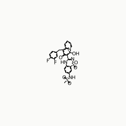 CS(=O)(=O)Nc1ccc2c(c1)S(=O)(=O)N=C(c1c(O)n3ccccc3c(Cc3ccc(F)c(F)c3)c1=O)N2